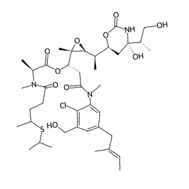 C/C=C(\C)Cc1cc(CO)c(Cl)c(N(C)C(=O)C[C@H](OC(=O)[C@H](C)N(C)C(=O)CCC(C)SC(C)C)[C@]2(C)O[C@H]2[C@H](C)[C@@H]2C[C@](O)([C@@H](C)CO)NC(=O)O2)c1